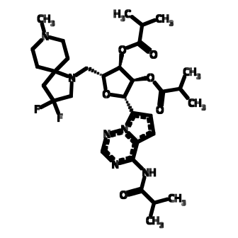 CC(C)C(=O)Nc1ncnn2c([C@@H]3O[C@H](CN4CC(F)(F)CC45CCN(C)CC5)[C@@H](OC(=O)C(C)C)[C@H]3OC(=O)C(C)C)ccc12